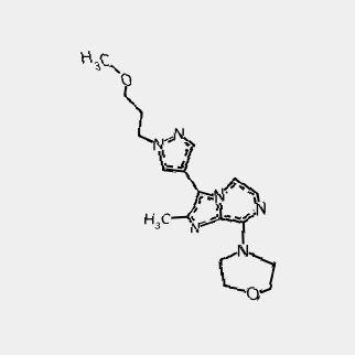 COCCCn1cc(-c2c(C)nc3c(N4CCOCC4)nccn23)cn1